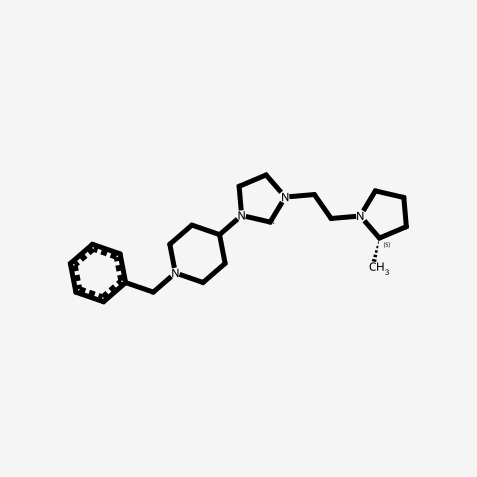 C[C@H]1CCCN1CCN1[C]N(C2CCN(Cc3ccccc3)CC2)CC1